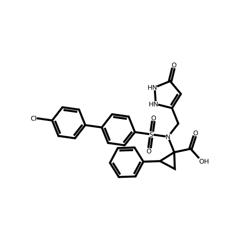 O=C(O)C1(N(Cc2cc(=O)[nH][nH]2)S(=O)(=O)c2ccc(-c3ccc(Cl)cc3)cc2)CC1c1ccccc1